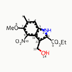 CCOC(=O)c1[nH]c2cc(C)c(OC)c([N+](=O)[O-])c2c1CO